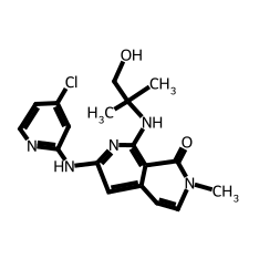 Cn1ccc2cc(Nc3cc(Cl)ccn3)nc(NC(C)(C)CO)c2c1=O